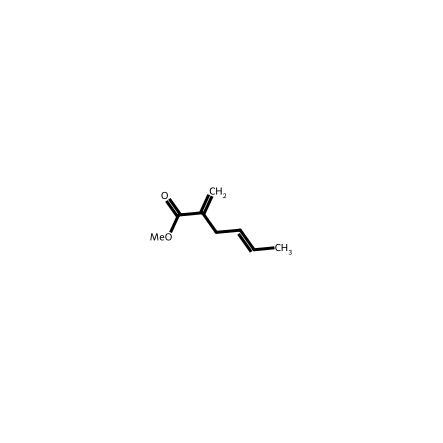 C=C(CC=CC)C(=O)OC